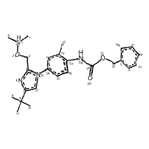 C[SiH](C)OCc1nc(C(C)(C)C)cn1-c1ccc(NC(=O)OCc2ccccc2)c(F)c1